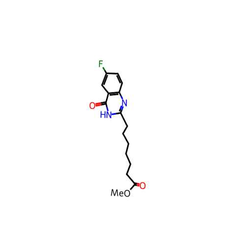 COC(=O)CCCCCCc1nc2ccc(F)cc2c(=O)[nH]1